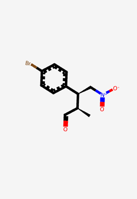 C[C@@H](C=O)[C@H](C[N+](=O)[O-])c1ccc(Br)cc1